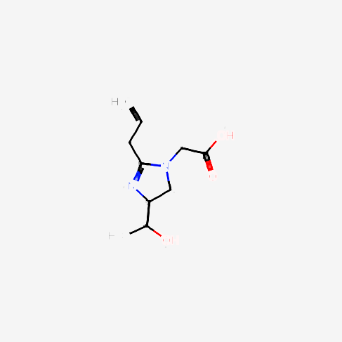 C=CCC1=NC(C(C)O)CN1CC(=O)O